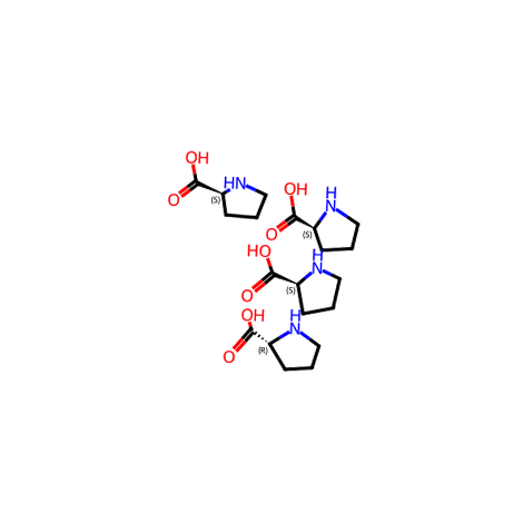 O=C(O)[C@@H]1CCCN1.O=C(O)[C@@H]1CCCN1.O=C(O)[C@@H]1CCCN1.O=C(O)[C@H]1CCCN1